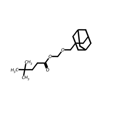 CC(C)(C)CCC(=O)OCOCC12CC3CC(CC(C3)C1)C2